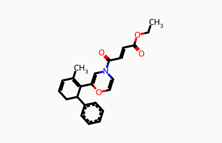 CCOC(=O)/C=C/C(=O)N1C=COC(C2=C(C)C=CCC2c2ccccc2)=C1